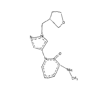 CNc1cccn(-c2cnn(CC3CCOC3)c2)c1=O